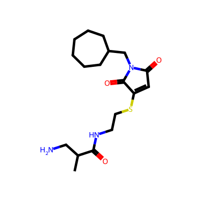 CC(CN)C(=O)NCCSC1=CC(=O)N(CC2CCCCCC2)C1=O